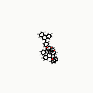 C1=CCC(C2(C3=C(N(c4ccccc4)c4ccc(-c5cc6ccccc6c6ccccc56)cc4)C=CCC3)c3ccccc3C3(c4ccccc4)c4ccccc4-c4cccc2c43)C=C1